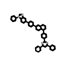 C1=CC(c2cc(-c3ccccc3)nc(-c3ccc(-c4cccc5cc(-c6ccc(-c7ccc8c(c7)ncn8-c7ccccc7)cc6)ccc45)cc3)n2)=CCC1